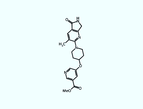 COC(=O)c1cncc(OC2CCN(c3nc4c(cc3C)C(=O)NC4)CC2)c1